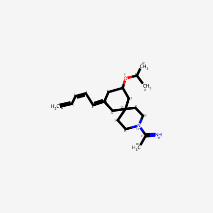 C=C/C=C\C=C1/CC(OC(C)C)CC2(CCN(C(C)=N)CC2)C1